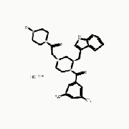 CCN1CCN(C(=O)CN2CCN(C(=O)c3cc(C(F)(F)F)cc(C(F)(F)F)c3)[C@H](Cc3c[nH]c4ccccc34)C2)CC1.Cl.Cl